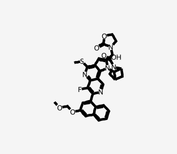 COCOc1cc(-c2ncc3c(nc(SC)c4cc(CN5CCOC5=O)n(C5C6CC5N(C(=O)O)C6)c43)c2F)c2ccccc2c1